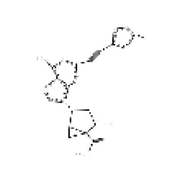 CNC(=O)C12CC1[C@@H](n1cnc3c(N)nc(C#Cc4ccc(Cl)s4)nc31)[C@H](O)[C@@H]2O